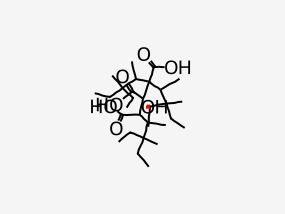 CCC(C)(CC)C(C)C(C(=O)O)C(O)(C(=O)O)C(C(=O)O)(C(C)C(C)(CC)CC)C(C)C(C)(CC)CC